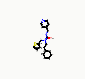 O=C(NCc1ccncc1)N(CCC1CCCCC1)Cc1cccs1